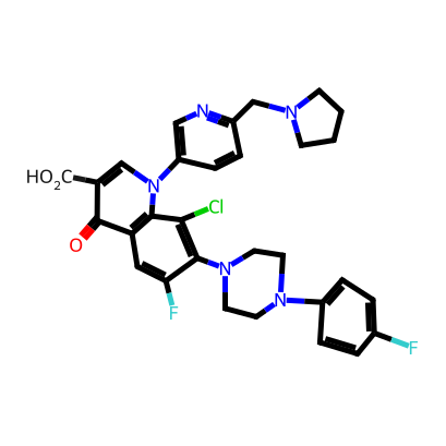 O=C(O)c1cn(-c2ccc(CN3CCCC3)nc2)c2c(Cl)c(N3CCN(c4ccc(F)cc4)CC3)c(F)cc2c1=O